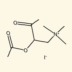 CC(=O)OC(C[N+](C)(C)C)C(C)=O.[I-]